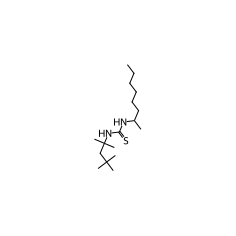 CCCCCCC(C)NC(=S)NC(C)(C)CC(C)(C)C